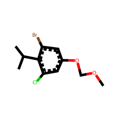 COCOc1cc(Cl)c(C(C)C)c(Br)c1